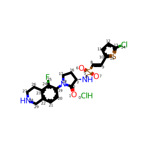 Cl.O=C1[C@@H](NS(=O)(=O)/C=C/c2ccc(Cl)s2)CCN1c1ccc2c(c1F)CCNC2